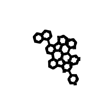 c1ccc2c(-c3ccc4c5cccc6c7nc(-c8ccncc8)cnc7n(c(=C(c7cnccn7)c7cnccn7)n7c8nccnc8c3c47)c56)cccc2c1